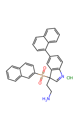 Cl.NCCC1(S(=O)(=O)c2ccc3ccccc3c2)C=Nc2ccc(-c3cccc4ccccc34)cc21